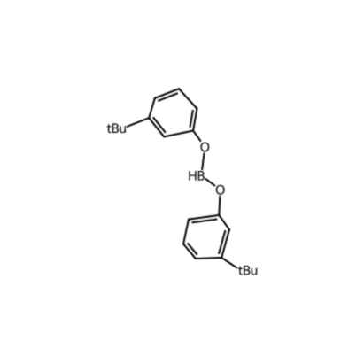 CC(C)(C)c1cccc(OBOc2cccc(C(C)(C)C)c2)c1